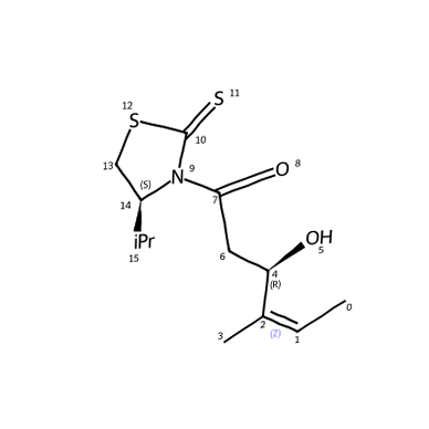 C/C=C(/C)[C@H](O)CC(=O)N1C(=S)SC[C@@H]1C(C)C